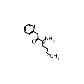 CSCC[C@H](N)C(=O)Cc1ccccn1